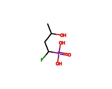 CC(O)CC(F)P(=O)(O)O